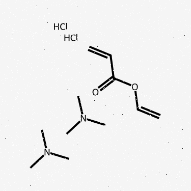 C=COC(=O)C=C.CN(C)C.CN(C)C.Cl.Cl